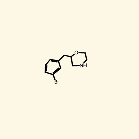 Brc1cccc(CC2CNCCO2)c1